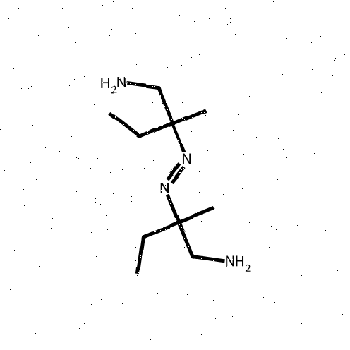 CCC(C)(CN)N=NC(C)(CC)CN